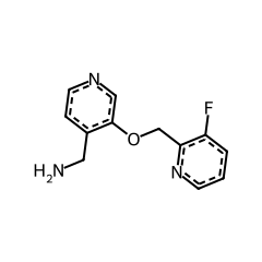 NCc1ccncc1OCc1ncccc1F